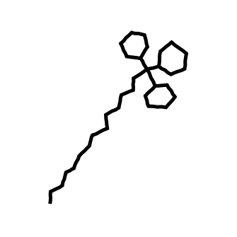 CCCCCCCCCCCCCCC(C1CCCCC1)(C1CCCCC1)C1CCCCC1